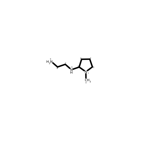 CN1CCCC1NCCN